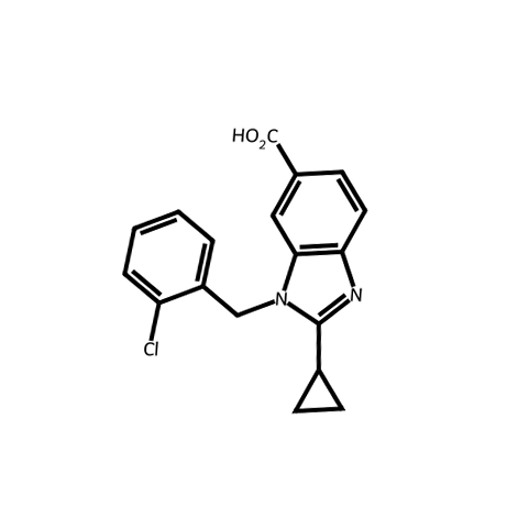 O=C(O)c1ccc2nc(C3CC3)n(Cc3ccccc3Cl)c2c1